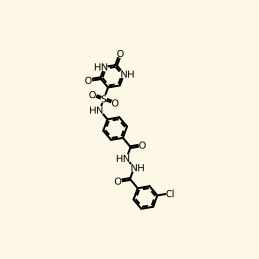 O=C(NNC(=O)c1cccc(Cl)c1)c1ccc(NS(=O)(=O)c2c[nH]c(=O)[nH]c2=O)cc1